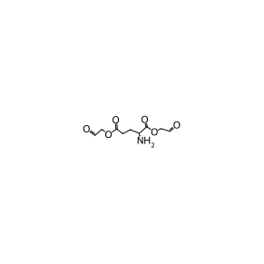 N[C@@H](CCC(=O)OCC=O)C(=O)OCC=O